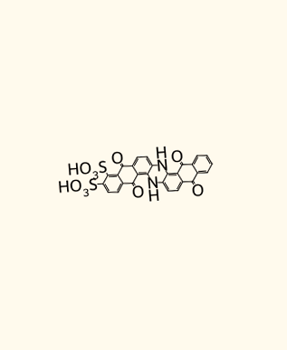 O=c1c2ccccc2c(=O)c2c1ccc1[nH]c3c(ccc4c(=O)c5c(S(=O)(=O)O)c(S(=O)(=O)O)ccc5c(=O)c43)[nH]c12